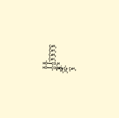 O=C(O)O.O=C(O)O.[CaH2].[CaH2].[CaH2].[CaH2].[CaH2].[CaH2].[CaH2].[CaH2]